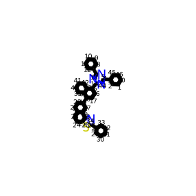 c1ccc(-c2nc(-c3ccccc3)nc(-c3ccc(-c4ccc5ccc6sc(-c7ccccc7)nc6c5c4)c4ccccc34)n2)cc1